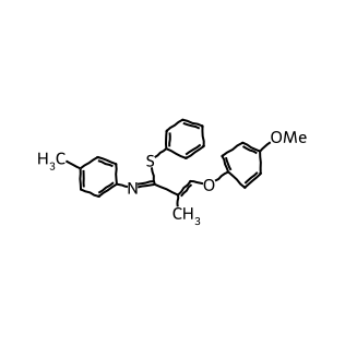 COc1ccc(O/C=C(C)/C(=N/c2ccc(C)cc2)Sc2ccccc2)cc1